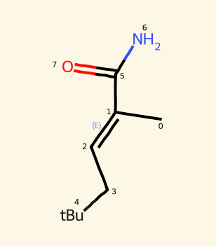 C/C(=C\CC(C)(C)C)C(N)=O